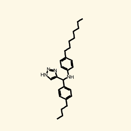 CCCCCCCCc1ccc(NC(c2ccc(CCCC)cc2)c2c[nH]nn2)cc1